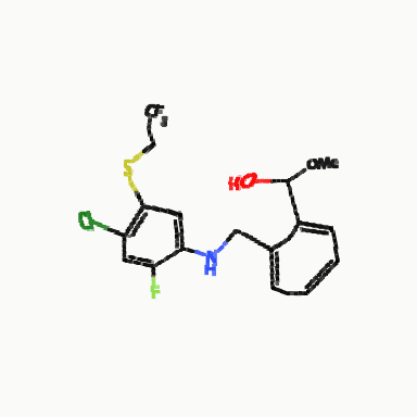 COC(O)c1ccccc1CNc1cc(SCC(F)(F)F)c(Cl)cc1F